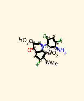 CNc1c(F)cc2c(=O)c(C(=O)O)cn(-c3cc(N)c(F)cc3F)c2c1[N+](=O)[O-]